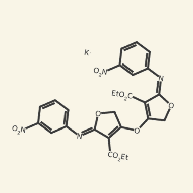 CCOC(=O)C1=C(OC2=C(C(=O)OCC)C(=Nc3cccc([N+](=O)[O-])c3)OC2)COC1=Nc1cccc([N+](=O)[O-])c1.[K]